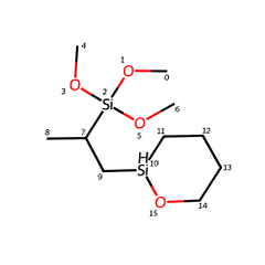 CO[Si](OC)(OC)C(C)C[SiH]1CCCCO1